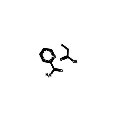 CCC(=O)O.NC(=O)c1ccccn1